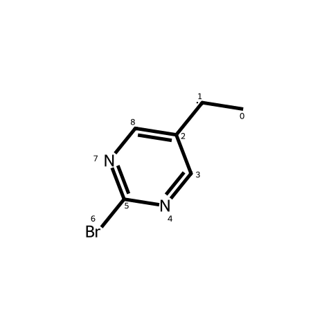 C[CH]c1cnc(Br)nc1